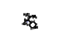 C/N=C(/N(C)N)N1CCNCC1